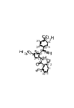 Cc1cc(NC(=O)c2c(F)cccc2C(F)(F)F)c(C(=N)c2ccc(C(=O)O)cc2)s1